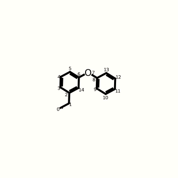 [CH2]Cc1cccc(Oc2ccccc2)c1